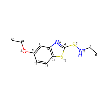 CCNSc1nc2cc(OCC)ccc2s1